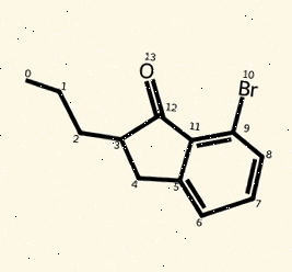 CCCC1Cc2cccc(Br)c2C1=O